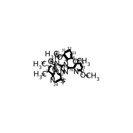 COc1cccc(-c2nnc(NS(=O)(=O)[C@@H](C)[C@H](C)c3ncc(F)cn3)n2-c2c(OC)cccc2OC)n1